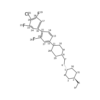 CC[C@H]1CC[C@H](CCC2CCC(c3ccc(-c4cc(F)c(Cl)c(F)c4)c(F)c3)CC2)CC1